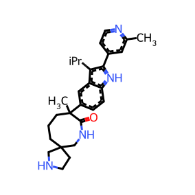 Cc1cc(-c2[nH]c3ccc(C4(C)CCCC5(CCNC5)CNC4=O)cc3c2C(C)C)ccn1